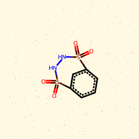 O=S1(=O)NNS(=O)(=O)c2cccc1c2